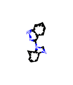 c1ccc2c(c1)ncn2-c1n[nH]c2ccccc12